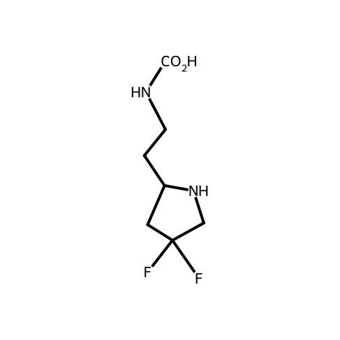 O=C(O)NCCC1CC(F)(F)CN1